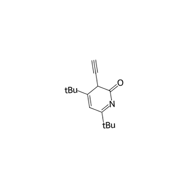 C#CC1C(=O)N=C(C(C)(C)C)C=C1C(C)(C)C